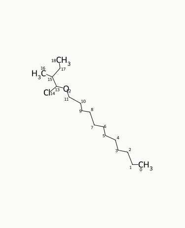 CCCCCCCCCCCCOC(Cl)C(C)CC